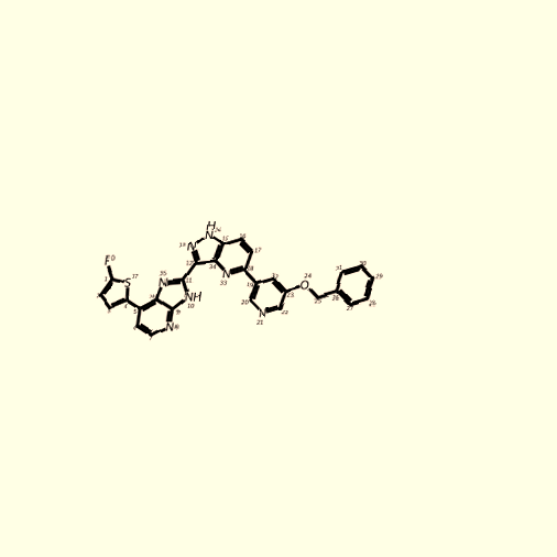 Fc1ccc(-c2ccnc3[nH]c(-c4n[nH]c5ccc(-c6cncc(OCc7ccccc7)c6)nc45)nc23)s1